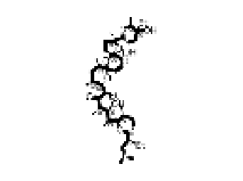 CC[C@@H](CN(C)C)[C@H]1CC[C@H](C)[C@H]([C@@H](C)[C@H](O)[C@H](C)C(=O)[C@H](CC)[C@H]2O[C@]3(C=C[C@@H](O)[C@]4(CC[C@@](C)([C@H]5CC[C@](O)(CC)[C@H](C)O5)O4)O3)[C@H](C)C[C@@H]2C)O1